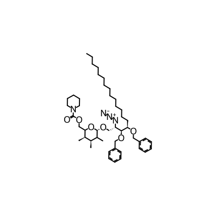 CCCCCCCCCCCCCC[C@@H](OCc1ccccc1)[C@@H](OCc1ccccc1)[C@H](CO[C@H]1OC(COC(=O)N2CCCCC2)[C@H](C)[C@H](C)C1C)N=[N+]=[N-]